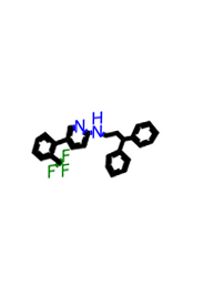 FC(F)(F)c1ccccc1-c1ccc(NCCC(c2ccccc2)c2ccccc2)nc1